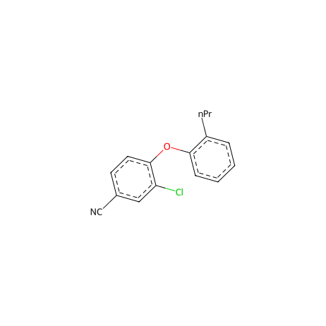 CCCc1ccccc1Oc1ccc(C#N)cc1Cl